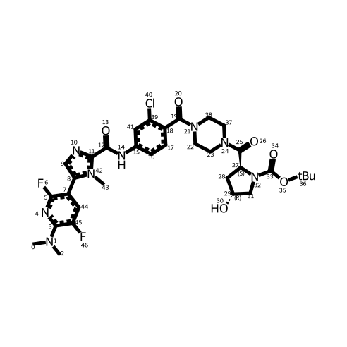 CN(C)c1nc(F)c(-c2cnc(C(=O)Nc3ccc(C(=O)N4CCN(C(=O)[C@@H]5C[C@@H](O)CN5C(=O)OC(C)(C)C)CC4)c(Cl)c3)n2C)cc1F